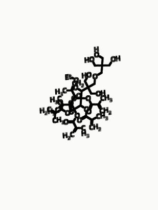 C=C(C)C(=O)OC(C(OC(=O)C(=C)C)(OC(=O)C(=C)C)OC(=O)C(=C)C)C(OC(=O)C(=C)C)(OC(=O)C(=C)C)C(OOCC)C(CO)(CO)COCC(CO)(CO)CO